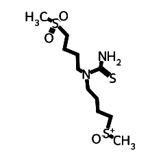 C[S+]([O-])CCCCN(CCCCS(C)(=O)=O)C(N)=S